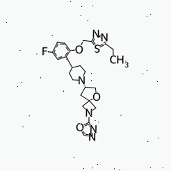 CCc1nnc(COc2ccc(F)cc2C2CCN([C@@H]3COC4(C3)CN(c3nnco3)C4)CC2)s1